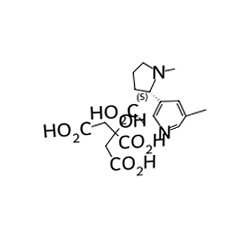 CC(=O)O.Cc1cncc([C@@H]2CCCN2C)c1.O=C(O)CC(O)(CC(=O)O)C(=O)O